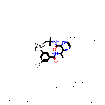 COCC(C)(C)NC(=O)c1nccnc1C(C)NC(=O)c1cc(C(F)(F)F)cc(C(F)(F)F)c1